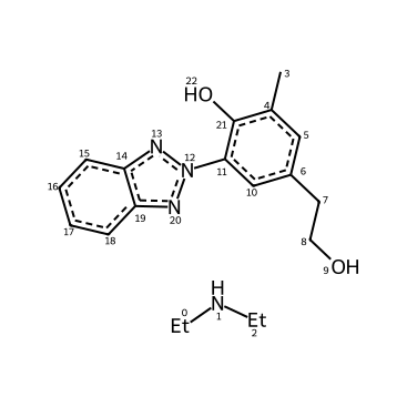 CCNCC.Cc1cc(CCO)cc(-n2nc3ccccc3n2)c1O